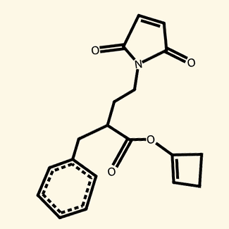 O=C(OC1=CCC1)C(CCN1C(=O)C=CC1=O)Cc1ccccc1